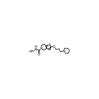 CCCNC(=O)N1CCc2sc(OCCCN3CCCCC3)cc2C1